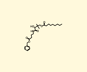 CCCCCCCCC(=O)OCC(C)(C)C(O)C(=O)NCCCC(=O)OCc1ccccc1